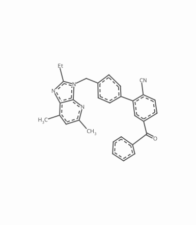 CCc1nc2c(C)cc(C)nc2n1Cc1ccc(-c2cc(C(=O)c3ccccc3)ccc2C#N)cc1